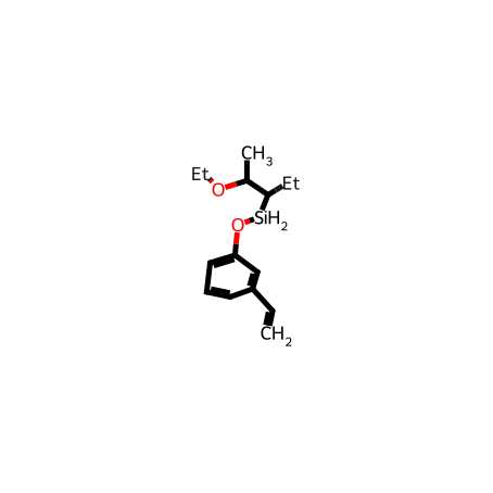 C=Cc1cccc(O[SiH2]C(CC)C(C)OCC)c1